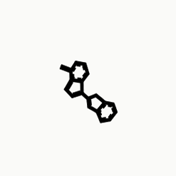 C=c1cccc2c1=CC=C2C1=Cc2ccccc2C1